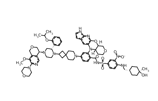 COc1c(N2CCOCC2)ncc2c1COC[C@H]2N1CCN(C2CC3(CCN(c4ccc(C(=O)NS(=O)(=O)c5ccc(NC[C@H]6CC[C@](C)(O)CC6)c([N+](=O)[O-])c5)c(N5c6cc7cc[nH]c7nc6O[C@H]6COCC[C@@H]65)c4)CC3)C2)[C@@H](c2ccccc2OC(C)C)C1